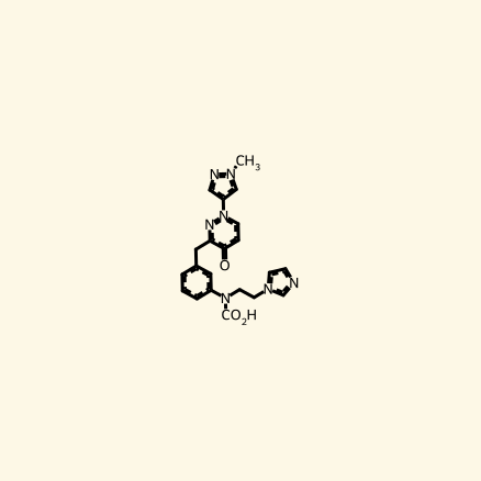 Cn1cc(-n2ccc(=O)c(Cc3cccc(N(CCn4ccnc4)C(=O)O)c3)n2)cn1